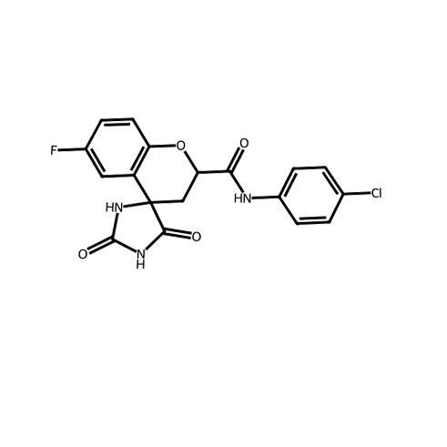 O=C1NC(=O)C2(CC(C(=O)Nc3ccc(Cl)cc3)Oc3ccc(F)cc32)N1